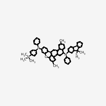 Cc1ccc2c(N(c3ccccc3)c3ccc4c(c3)C(C)(C)c3ccccc3-4)cc3c4cc(C)cc5c4c(cc3c2c1)-c1ccc(N(c2ccccc2)c2ccc([Si](C)(C)C)cc2)cc1O5